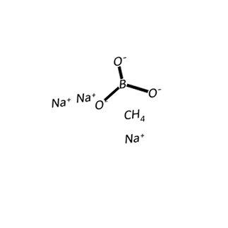 C.[Na+].[Na+].[Na+].[O-]B([O-])[O-]